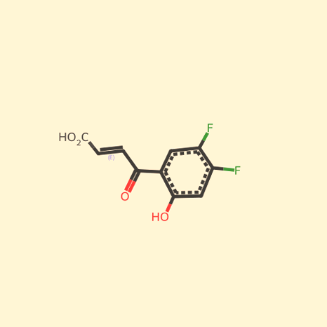 O=C(O)/C=C/C(=O)c1cc(F)c(F)cc1O